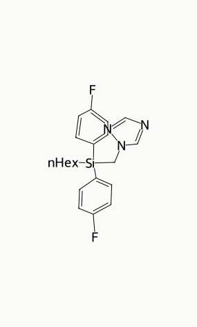 CCCCCC[Si](Cn1cncn1)(c1ccc(F)cc1)c1ccc(F)cc1